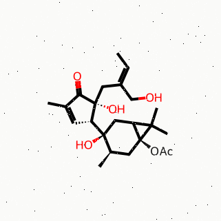 C/C=C(/CO)C[C@]1(O)C(=O)C(C)=C[C@H]1[C@]1(O)CC2C(C)(C)[C@]2(OC(C)=O)C[C@H]1C